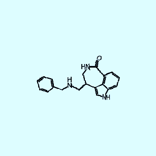 O=C1NCC(CNCc2ccccc2)c2c[nH]c3cccc1c23